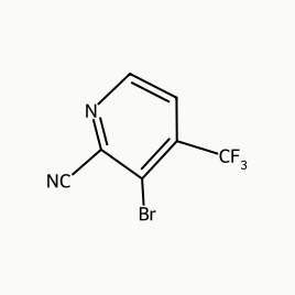 N#Cc1nccc(C(F)(F)F)c1Br